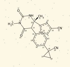 CN1C(=O)N[C@](C)(c2ccc(C#N)s2)C(c2ccc(C3(C#N)CC3)cc2)C1=O